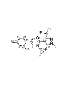 C=C(CN(C(=O)c1c(C(F)F)nn(C)c1F)C1CC1)c1ccc(C)cc1C